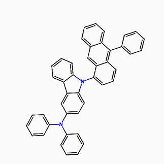 c1ccc(-c2c3ccccc3cc3c(-n4c5ccccc5c5cc(N(c6ccccc6)c6ccccc6)ccc54)cccc23)cc1